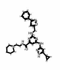 O=C(NCCN1CCCCC1)c1cc(Nc2cc(C3CC3)[nH]n2)nc(NCc2cc(-c3ccccc3)no2)n1